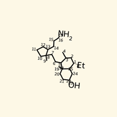 CC[C@H]1CC(C)C(CCC2(C)CCCC2CCCN)C2(C)CC[C@@H](O)CC12